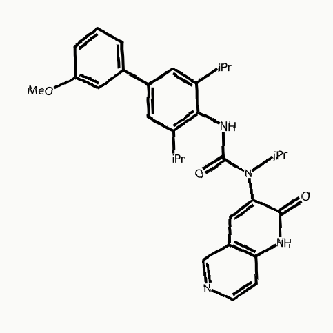 COc1cccc(-c2cc(C(C)C)c(NC(=O)N(c3cc4cnccc4[nH]c3=O)C(C)C)c(C(C)C)c2)c1